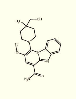 CCOc1cc(C(N)=O)c2nc3ccccc3n2c1N1CCC(C)(CO)CC1